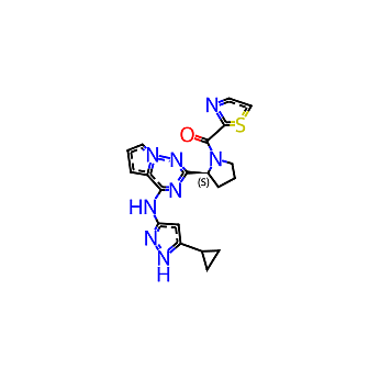 O=C(c1nccs1)N1CCC[C@H]1c1nc(Nc2cc(C3CC3)[nH]n2)c2cccn2n1